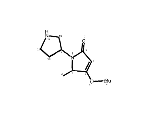 CC1C(OC(C)(C)C)=CC(=O)N1C1CCNC1